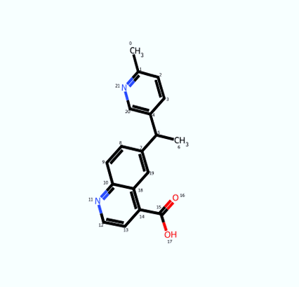 Cc1ccc(C(C)c2ccc3nccc(C(=O)O)c3c2)cn1